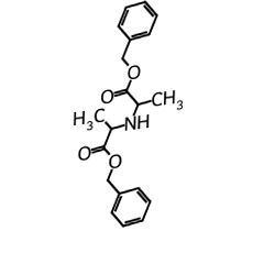 CC(NC(C)C(=O)OCc1ccccc1)C(=O)OCc1ccccc1